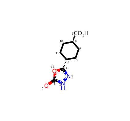 O=c1[nH]nc([C@H]2CC[C@H](C(=O)O)CC2)o1